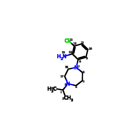 CC(C)N1CCCN(c2cccc(Cl)c2N)CC1